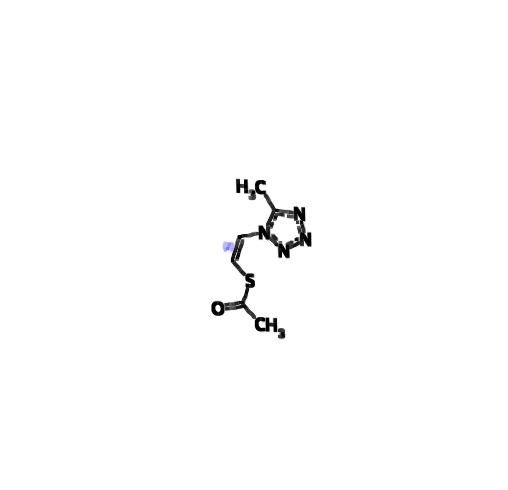 CC(=O)S/C=C\n1nnnc1C